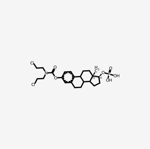 C[C@]12CCC3c4ccc(OC(=O)N(CCCl)CCCl)cc4CCC3C1CC[C@@H]2OP(=O)(O)O